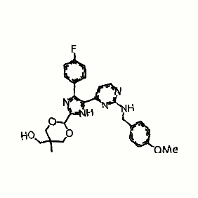 COc1ccc(CNc2nccc(-c3[nH]c(C4OCC(C)(CO)CO4)nc3-c3ccc(F)cc3)n2)cc1